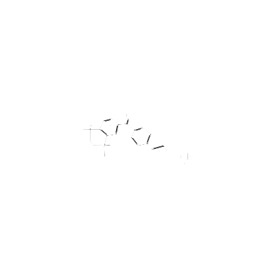 CC1(C)CCC(C)(C)c2cc(C(=O)c3ccc(/C=C/C(=O)O)cc3)ccc21